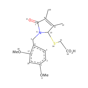 COc1ccc(CN2C(=O)C(C)=C(C)C2SCC(=O)O)c(OC)c1